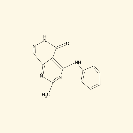 Cc1nc(Nc2ccccc2)c2c(=O)[nH]ncc2n1